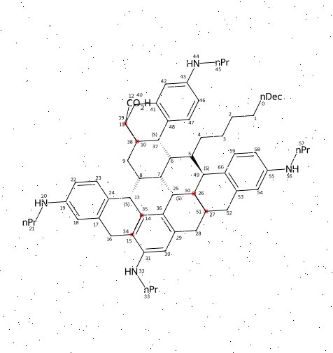 CCCCCCCCCCCCCCC(C(C(C(CCCC(=O)O)[C@@H]1CCCc2cc(NCCC)ccc21)[C@@H]1CCCc2cc(NCCC)ccc21)[C@@H]1CCCc2cc(NCCC)ccc21)[C@@H]1CCCc2cc(NCCC)ccc21